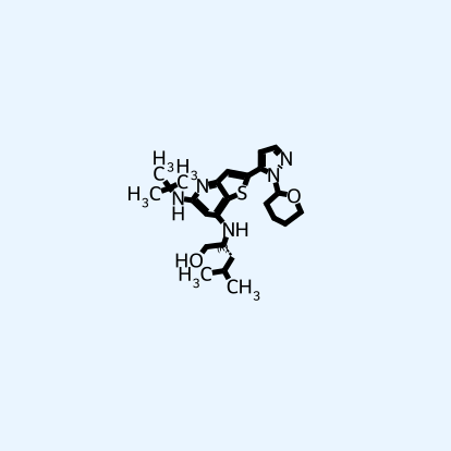 CC(C)C[C@H](CO)Nc1cc(NC(C)(C)C)nc2cc(-c3ccnn3C3CCCCO3)sc12